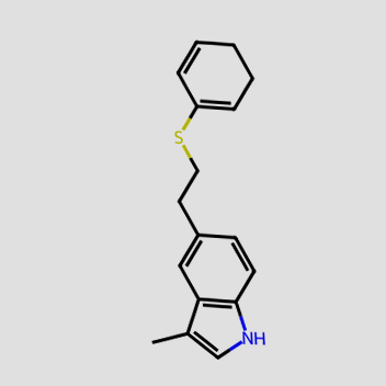 Cc1c[nH]c2ccc(CCSC3=CCCC=C3)cc12